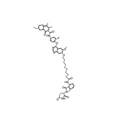 CCc1ccc2c(c1)c(=O)c(C(=O)Nc1ccc(Oc3ncnc4cc(OCCCCCCCCCC(=O)Nc5cccc6c5C(=O)N(C5CCC(=O)NC5=O)C6)c(OC)cc34)c(F)c1)c(C)n2C